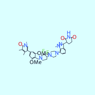 COc1cc(-c2cn(C)c(=O)c(C)c2C)cc(OC)c1CN1CCC(N2CCN(c3cccc4c(C5CCC(=O)NC5=O)nn(C)c34)CC2)C(F)(F)C1